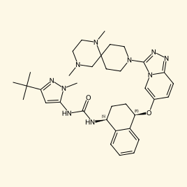 CN1CCN(C)C2(CCN(c3nnc4ccc(O[C@@H]5CC[C@H](NC(=O)Nc6cc(C(C)(C)C)nn6C)c6ccccc65)cn34)CC2)C1